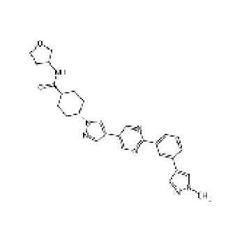 Cn1cc(-c2cccc(-c3ncc(-c4cnn([C@H]5CC[C@H](C(=O)NC6CCOC6)CC5)c4)cn3)c2)cn1